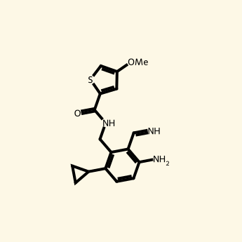 COc1csc(C(=O)NCc2c(C3CC3)ccc(N)c2C=N)c1